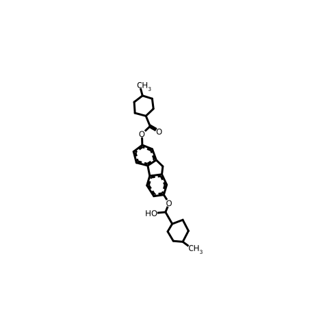 CC1CCC(C(=O)Oc2ccc3c(c2)Cc2cc(OC(O)C4CCC(C)CC4)ccc2-3)CC1